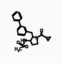 CS(=O)(=O)NC1CCN(C(=O)C2CC2)C1Cc1cccc(-c2ccccc2)c1